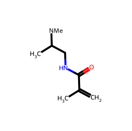 C=C(C)C(=O)NCC(C)NC